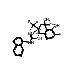 CC1(C)C[C@@](O)(C(F)(F)F)[C@@H](NC(=O)Nc2cccc3ccccc23)c2ccc(F)c(O)c21